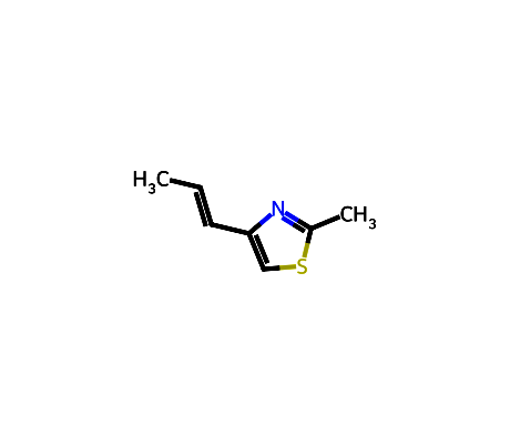 C/C=C/c1csc(C)n1